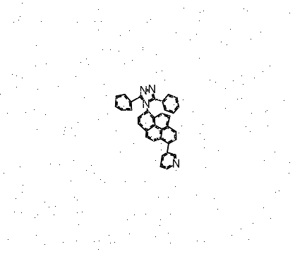 c1ccc(-c2nnc(-c3ccccc3)n2-c2ccc3ccc4c(-c5cccnc5)ccc5ccc2c3c54)cc1